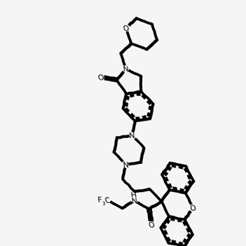 O=C1c2cc(N3CCN(CCCC4(C(=O)NCC(F)(F)F)c5ccccc5Oc5ccccc54)CC3)ccc2CN1CC1CCCCO1